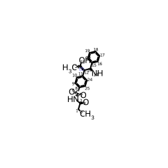 CCC(=O)NS(=O)(=O)c1ccc(/C(C(=N)c2ccccc2)=C(\C)O)cc1